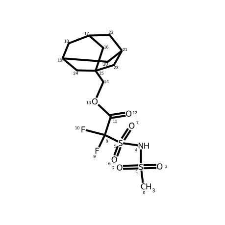 CS(=O)(=O)NS(=O)(=O)C(F)(F)C(=O)OCC12CC3CC(CC(C3)C1)C2